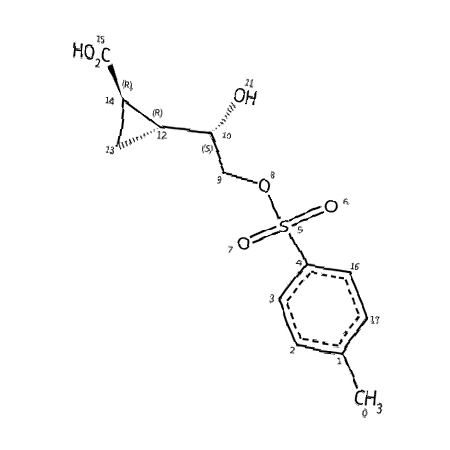 Cc1ccc(S(=O)(=O)OC[C@@H](O)[C@@H]2C[C@H]2C(=O)O)cc1